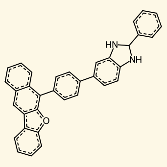 c1ccc(C2Nc3ccc(-c4ccc(-c5c6ccccc6cc6c5oc5ccccc56)cc4)cc3N2)cc1